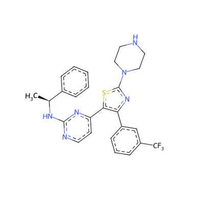 C[C@H](Nc1nccc(-c2sc(N3CCNCC3)nc2-c2cccc(C(F)(F)F)c2)n1)c1ccccc1